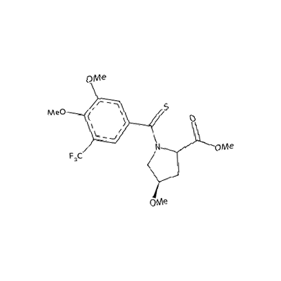 COC(=O)C1C[C@@H](OC)CN1C(=S)c1cc(OC)c(OC)c(C(F)(F)F)c1